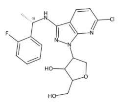 C[C@H](Nc1nn(C2COC(CO)C2O)c2nc(Cl)ccc12)c1ccccc1F